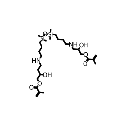 C=C(C)C(=O)OCC(O)CCNCCCC[Si](C)(C)O[Si](C)(C)CCCCNCC(O)COC(=O)C(=C)C